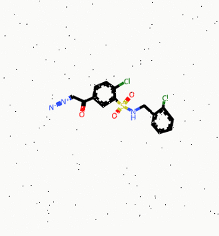 [N-]=[N+]=CC(=O)c1ccc(Cl)c(S(=O)(=O)NCc2ccccc2Cl)c1